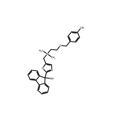 C[N+](C)(CCOCc1ccc(C#N)cc1)Cc1cnc(C2(O)c3ccccc3-c3ccccc32)o1